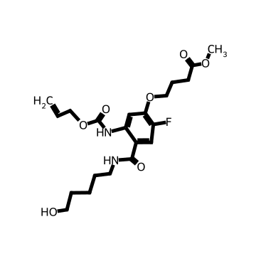 C=CCOC(=O)Nc1cc(OCCCC(=O)OC)c(F)cc1C(=O)NCCCCCO